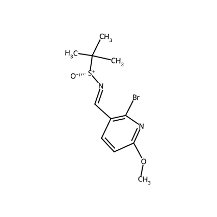 COc1ccc(C=N[S@+]([O-])C(C)(C)C)c(Br)n1